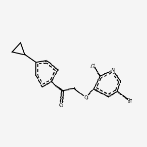 O=C(COc1cc(Br)cnc1Cl)c1ccc(C2CC2)cc1